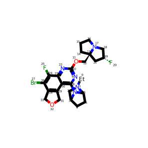 CCN1CC2CCC1N2c1nc(OC[C@@]23CCCN2C[C@H](F)C3)nc2c(F)c(Br)c3c(c12)COC3